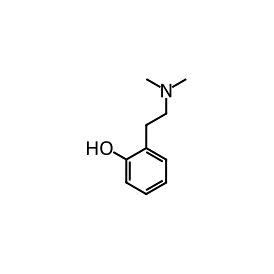 CN(C)CCc1ccccc1O